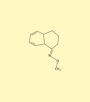 CON=C1CCCC2C=CC=CC12